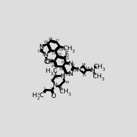 C=CC(=O)N1C[C@H](C)N(c2nc(N3CC(N(C)C)C3)nc3c(F)c(-c4c(C)ccc5ncn(C)c45)c(Cl)cc23)C[C@H]1C